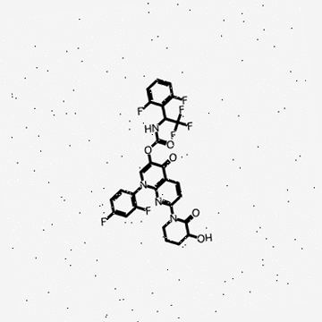 O=C(NC(c1c(F)cccc1F)C(F)(F)F)Oc1cn(-c2ccc(F)cc2F)c2nc(N3CCCC(O)C3=O)ccc2c1=O